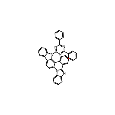 c1ccc(-c2nc(-c3ccccc3)nc(-n3c4ccccc4c4ccc5c(c6ccccc6c6nc7ccccc7n56)c43)n2)cc1